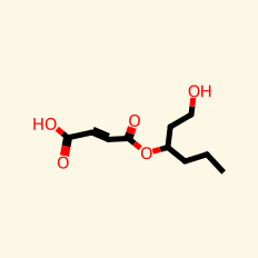 CCCC(CCO)OC(=O)/C=C/C(=O)O